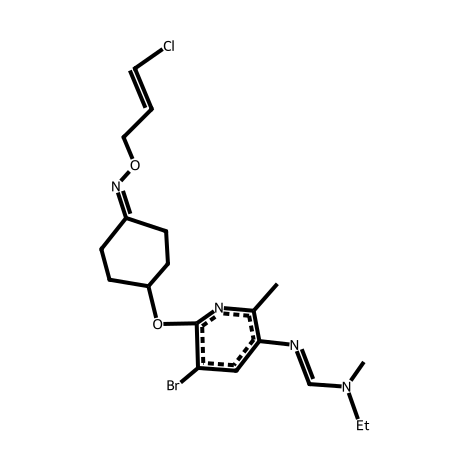 CCN(C)/C=N/c1cc(Br)c(OC2CCC(=NOC/C=C/Cl)CC2)nc1C